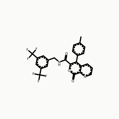 Cc1ccc(-c2c(C(=O)NCc3cc(C(F)(F)F)cc(C(F)(F)F)c3)oc(=O)c3ncccc23)cc1